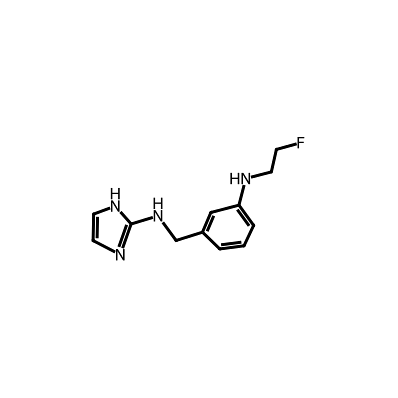 FCCNc1cccc(CNc2ncc[nH]2)c1